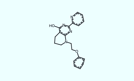 Oc1nc(-c2ccccn2)nc2c1CCCN2CCOc1ccccc1